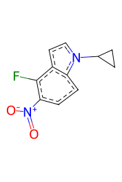 O=[N+]([O-])c1ccc2c(ccn2C2CC2)c1F